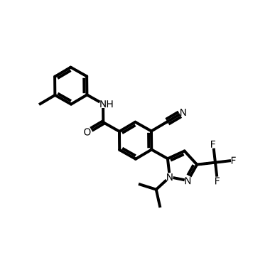 Cc1cccc(NC(=O)c2ccc(-c3cc(C(F)(F)F)nn3C(C)C)c(C#N)c2)c1